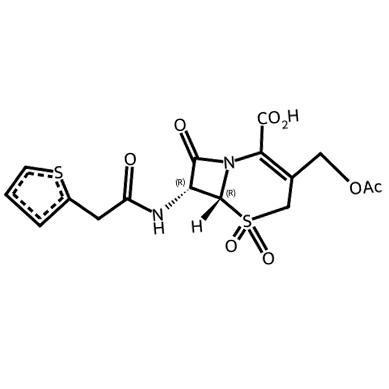 CC(=O)OCC1=C(C(=O)O)N2C(=O)[C@@H](NC(=O)Cc3cccs3)[C@H]2S(=O)(=O)C1